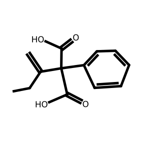 C=C(CC)C(C(=O)O)(C(=O)O)c1ccccc1